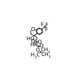 CC(C)(C)OC(=O)NS(=O)(=O)CC1(O)CCOc2cc(C(F)(F)F)ccc21